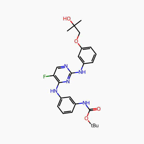 CC(C)(O)COc1cccc(Nc2ncc(F)c(Nc3cccc(NC(=O)OC(C)(C)C)c3)n2)c1